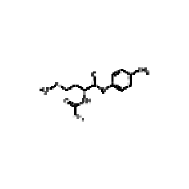 CSCCC(NC(C)=O)C(=O)Oc1ccc(N)cc1